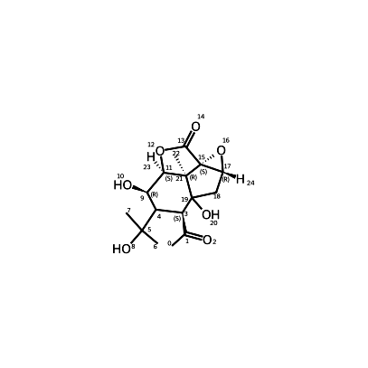 CC(=O)[C@H]1C(C(C)(C)O)[C@@H](O)[C@H]2OC(=O)[C@@]34O[C@@H]3CC1(O)[C@@]24C